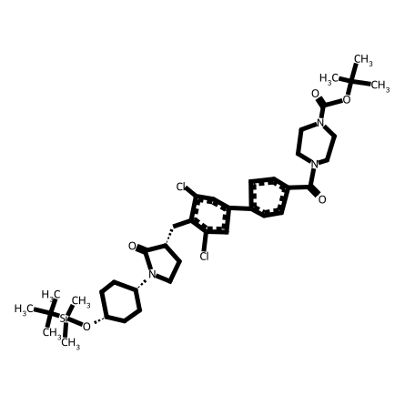 CC(C)(C)OC(=O)N1CCN(C(=O)c2ccc(-c3cc(Cl)c(C[C@@H]4CCN([C@H]5CC[C@@H](O[Si](C)(C)C(C)(C)C)CC5)C4=O)c(Cl)c3)cc2)CC1